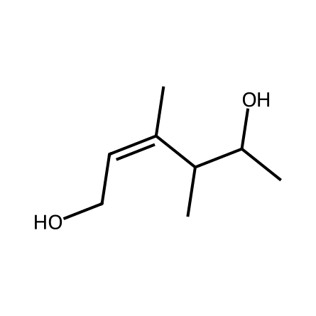 CC(=CCO)C(C)C(C)O